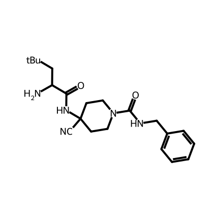 CC(C)(C)CC(N)C(=O)NC1(C#N)CCN(C(=O)NCc2ccccc2)CC1